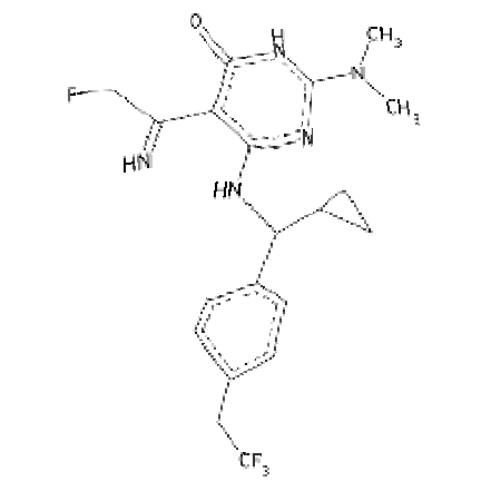 CN(C)c1nc(NC(c2ccc(CC(F)(F)F)cc2)C2CC2)c(C(=N)CF)c(=O)[nH]1